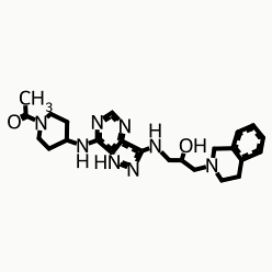 CC(=O)N1CCC(Nc2ncnc3c(NCC(O)CN4CCc5ccccc5C4)n[nH]c23)CC1